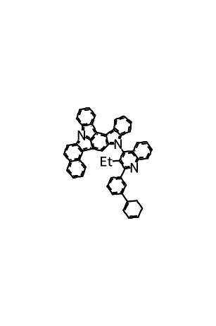 CCc1c(-c2cccc(C3=CC=CCC3)c2)nc2ccccc2c1-n1c2ccccc2c2c3c4ccccc4n4c5ccc6ccccc6c5c(cc21)c34